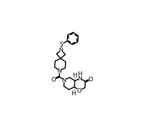 O=C1CO[C@H]2CCN(C(=O)N3CCC4(CC3)CN(Sc3ccccc3)C4)C[C@H]2N1